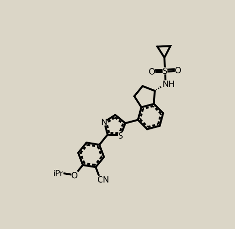 CC(C)Oc1ccc(-c2ncc(-c3cccc4c3CC[C@@H]4NS(=O)(=O)C3CC3)s2)cc1C#N